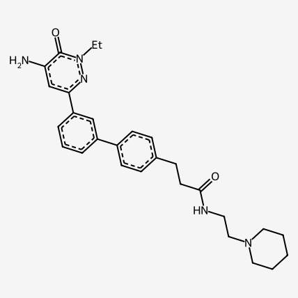 CCn1nc(-c2cccc(-c3ccc(CCC(=O)NCCN4CCCCC4)cc3)c2)cc(N)c1=O